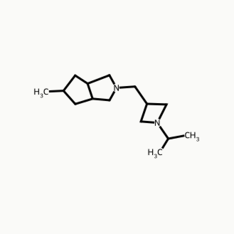 CC1CC2CN(CC3CN(C(C)C)C3)CC2C1